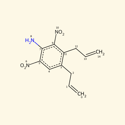 C=CCc1cc([N+](=O)[O-])c(N)c([N+](=O)[O-])c1CC=C